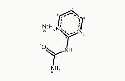 NC(=O)Nc1ncccn1.[NaH]